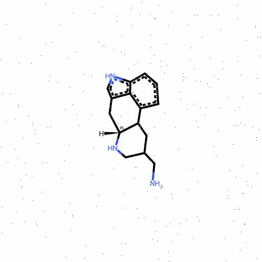 NCC1CN[C@@H]2Cc3c[nH]c4cccc(c34)C2C1